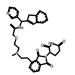 C=C(COCCN(C)CCc1cccc2c1C(=O)N(C1CCC(=O)NC1=O)C2=O)NC(C1=Cc2ccccc2C1)c1cccnc1